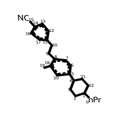 CCCC1CCC(c2ccc(CCc3ccc(C#N)cc3)c(C)c2)CC1